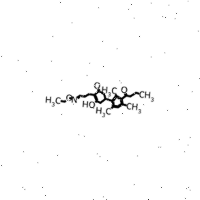 CCCC(=O)c1c(C)cc(C)c(C2CC(=O)C(CCC=NOCC)=C(O)C2)c1C